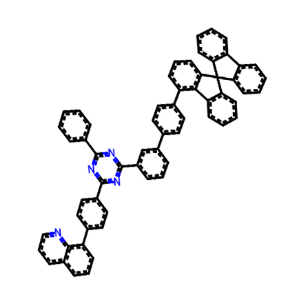 c1ccc(-c2nc(-c3ccc(-c4cccc5cccnc45)cc3)nc(-c3cccc(-c4ccc(-c5cccc6c5-c5ccccc5C65c6ccccc6-c6ccccc65)cc4)c3)n2)cc1